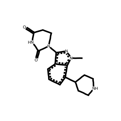 Cn1nc(N2CCC(=O)NC2=O)c2cccc(C3CCNCC3)c21